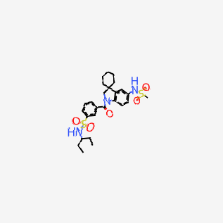 CCC(CC)NS(=O)(=O)c1cccc(C(=O)N2CC3(CCCCC3)c3cc(NS(C)(=O)=O)ccc32)c1